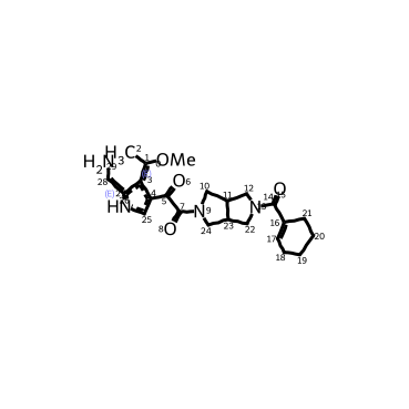 CO/C(C)=c1\c(C(=O)C(=O)N2CC3CN(C(=O)C4=CCCCC4)CC3C2)c[nH]\c1=C\N